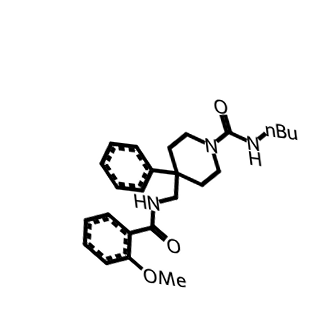 CCCCNC(=O)N1CCC(CNC(=O)c2ccccc2OC)(c2ccccc2)CC1